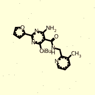 Cc1cccnc1CNC(=O)c1c(N)nc(-c2ccco2)nc1OCC(C)C